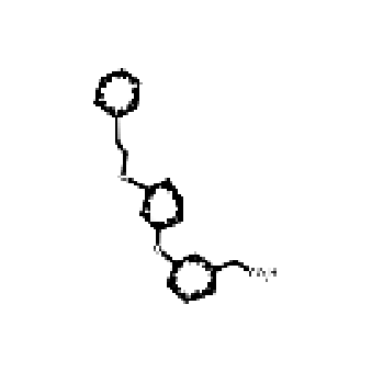 O=C(O)Cc1cccc(Oc2cccc(OCCc3ccccc3)c2)c1